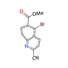 COC(=O)c1ccc2nc(C#N)ccc2c1Br